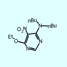 CCCCN(CCCC)c1ncnc(OCC)c1[N+](=O)[O-]